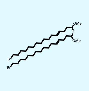 COC(CCC=CCCCCCCCCCCCBr)OC(CCC=CCCCCCCCCCCCBr)OC